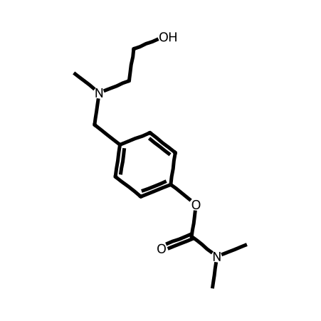 CN(CCO)Cc1ccc(OC(=O)N(C)C)cc1